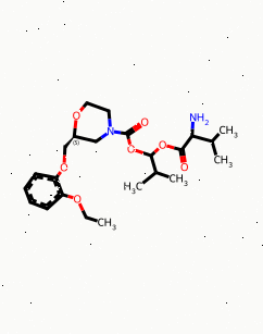 CCOc1ccccc1OC[C@@H]1CN(C(=O)OC(OC(=O)C(N)C(C)C)C(C)C)CCO1